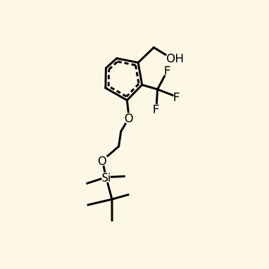 CC(C)(C)[Si](C)(C)OCCOc1cccc(CO)c1C(F)(F)F